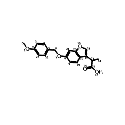 COc1ccc(COc2ccc3c(C(C)C(=O)O)coc3c2)cc1